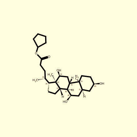 C[C@H](CCC(=O)OC1CCCC1)[C@H]1CC[C@H]2[C@@H]3[C@H](O)C[C@@H]4C[C@H](O)CC[C@]4(C)[C@H]3C[C@H](O)[C@]12C